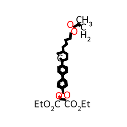 C=C(C)C(=O)OCCCCCC1CCC(c2ccc(-c3ccc(C4O[C@@H](C(=O)OCC)[C@H](C(=O)OCC)O4)cc3)cc2)CC1